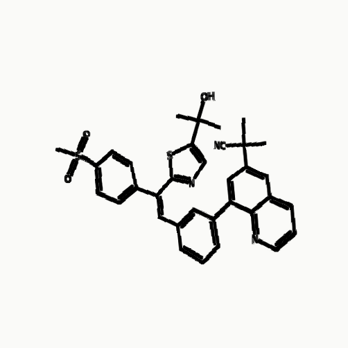 CC(C)(O)c1cnc(C(=Cc2cccc(-c3cc(C(C)(C)C#N)cc4cccnc34)c2)c2ccc(S(C)(=O)=O)cc2)s1